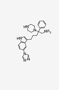 NCC(CCCc1c[nH]c2ccc(-n3cnnc3)cc12)(c1ccccc1)N1CCNCC1